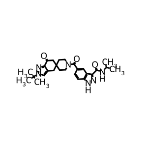 CC(C)NC(=O)c1n[nH]c2ccc(C(=O)N3CCC4(CC3)CC(=O)c3nn(C(C)(C)C)cc3C4)cc12